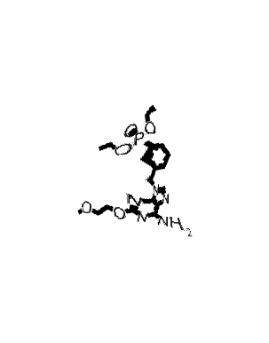 CCOP(=O)(OCC)c1cccc(Cn2cnc3c(N)nc(OCCOC)nc32)c1